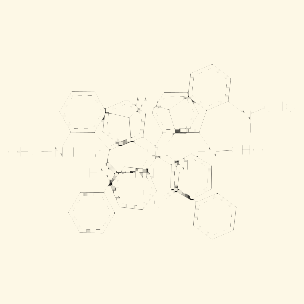 O=CNC1=C([Si](NC(=O)c2ccccc2)(c2ccccc2)c2ccccc2)[CH]([Mo][CH]2C([Si](NC(=O)c3ccccc3)(c3ccccc3)c3ccccc3)=C(NC=O)c3c(NC=O)cccc32)c2cccc(NC=O)c21